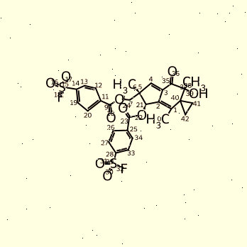 CC1=C2C(=C[C@@](C)(COC(=O)c3ccc(S(=O)(=O)F)cc3)[C@@H]2OC(=O)c2ccc(S(=O)(=O)F)cc2)C(=O)[C@](C)(O)C12CC2